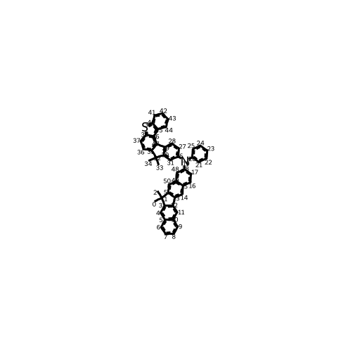 CC1(C)c2cc3ccccc3cc2-c2cc3ccc(N(c4ccccc4)c4ccc5c(c4)C(C)(C)c4ccc6sc7ccccc7c6c4-5)cc3cc21